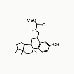 COC(=O)NC[C@@H]1CC2C3CCC(C)C3(C)CC[C@]2(C)c2ccc(O)cc21